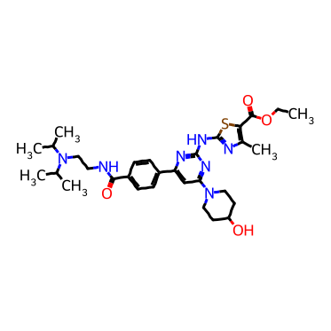 CCOC(=O)c1sc(Nc2nc(-c3ccc(C(=O)NCCN(C(C)C)C(C)C)cc3)cc(N3CCC(O)CC3)n2)nc1C